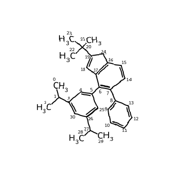 CC(C)c1cc(-c2c(-c3ccccc3)ccc3c2C=C(C(C)(C)C)[CH]3)cc(C(C)C)c1